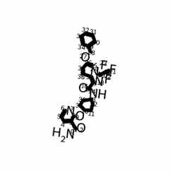 NC(=O)c1cccnc1OC1CCC(NC(=O)c2nc(C(F)(F)F)n3cc(OCc4ccccc4)ccc23)CC1